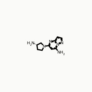 Nc1cc(N2CC[C@H](N)C2)nc2ccnn12